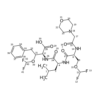 CC(C)C[C@H](NC(=O)[C@H](COC(F)F)NC(=O)CN1CCOCC1)C(=O)N[C@H](C(=O)O)C(Cc1ccccc1)OC(F)F